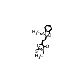 CCN1C(=O)C(=CC=C2Oc3ccccc3N2CC)OC1=S